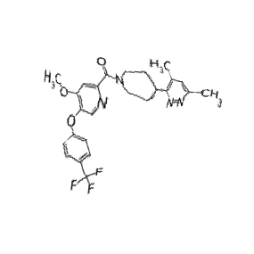 COc1cc(C(=O)N2CCC(c3nnc(C)cc3C)CC2)ncc1Oc1ccc(C(F)(F)F)cc1